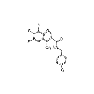 O=C(NCc1ccc(Cl)cc1)c1cnc2c(F)c(F)c(F)cc2c1O